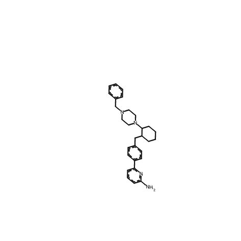 Nc1cccc(-c2ccc(CC3CCCCC3N3CCN(Cc4ccccc4)CC3)cc2)n1